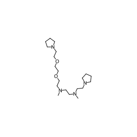 CN(CCOCCOCCN1CCCC1)CCN(C)CCN1CCCC1